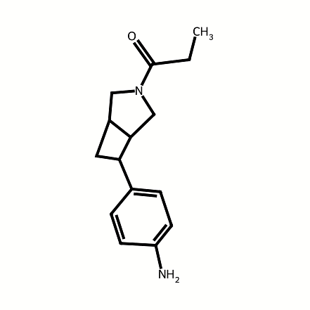 CCC(=O)N1CC2CC(c3ccc(N)cc3)C2C1